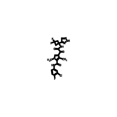 Cc1c(C(=O)C(=O)NC2(c3cn[nH]n3)CC(F)(F)C2)cn(C)c1C(=O)Nc1ccc(F)c(Cl)c1